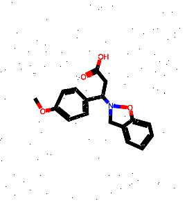 COc1ccc(C(CC(=O)O)N2Cc3ccccc3O2)cc1